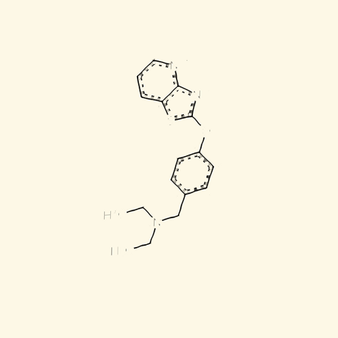 CCN(CC)Cc1ccc(Oc2nc3ncccc3s2)cc1